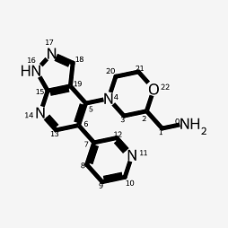 NCC1CN(c2c(-c3cccnc3)cnc3[nH]ncc23)CCO1